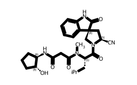 CC(C)C[C@@H](C(=O)N1C[C@]2(C[C@H]1C#N)C(=O)Nc1ccccc12)N(C)C(=O)CC(=O)N[C@@H]1CCC[C@H]1O